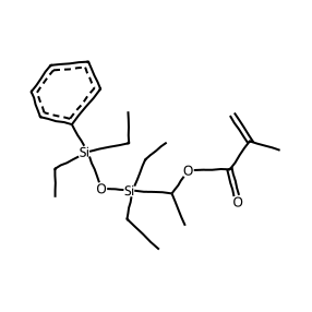 C=C(C)C(=O)OC(C)[Si](CC)(CC)O[Si](CC)(CC)c1ccccc1